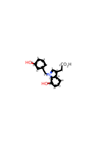 O=C(O)Cc1cn(Cc2cccc(O)c2)c2c(O)cccc12